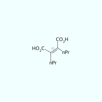 CCC/C(C(=O)O)=C(\CCC)C(=O)O